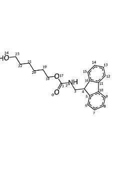 O=C(NCC1c2ccccc2-c2ccccc21)OCCCCCCO